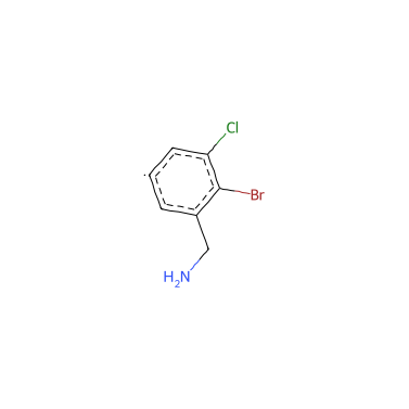 NCc1c[c]cc(Cl)c1Br